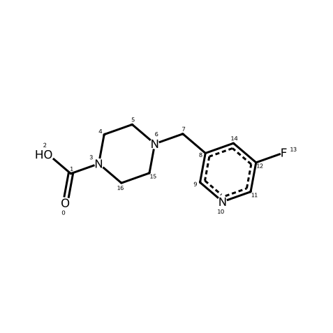 O=C(O)N1CCN(Cc2cncc(F)c2)CC1